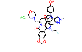 Cc1c(C(=O)N(c2ccc(O)cc2)c2cnn(C)c2)cc(-c2cc3c(cc2C(=O)N2Cc4ccccc4C[C@H]2CN2CCOCC2)OCO3)n1CCF.Cl